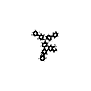 c1ccc(-c2ccc(N(c3ccc(-c4ccccc4)cc3)c3ccc(-c4cc5sc6ccccc6c5cc4-c4ccc5ccccc5c4)cc3)cc2)cc1